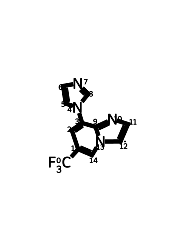 FC(F)(F)c1cc(-n2ccnc2)c2nc[c]n2c1